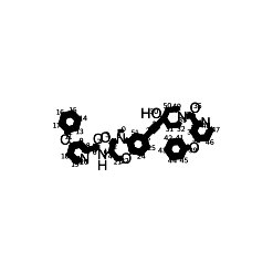 CN1C(=O)[C@@H](NC(=O)c2cc(Oc3ccccc3)ccn2)COc2ccc(C#CC3(O)CCN(C(=O)c4cc(Oc5ccccc5)ccn4)CC3)cc21